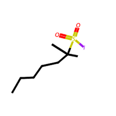 CCCCCC(C)(C)S(=O)(=O)I